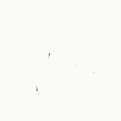 CC(=O)N[C@H](C(=O)NN(Cc1ccc(O)cc1)C[C@H](O)C(C(=O)[C@@H](NC(C)=O)C(C)C)C(N)c1ccccc1)C(C)C